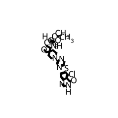 C[C@@H]1OCC2(CCN(c3cnc(Sc4ccc5nc[nH]c(=O)c5c4Cl)cn3)CC2)[C@@H]1NC(=O)OC(C)(C)C